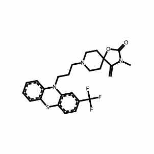 C=C1N(C)C(=O)OC12CCN(CCCN1c3ccccc3Sc3ccc(C(F)(F)F)cc31)CC2